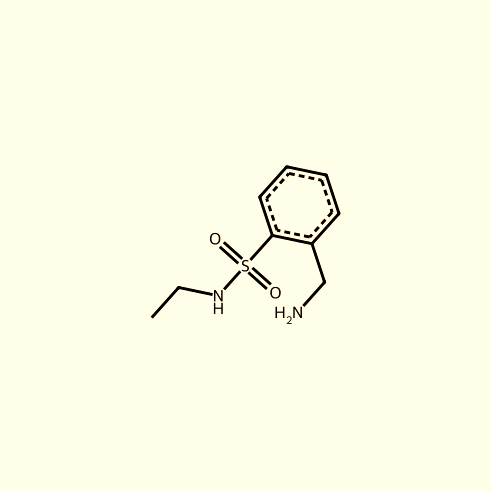 CCNS(=O)(=O)c1ccccc1CN